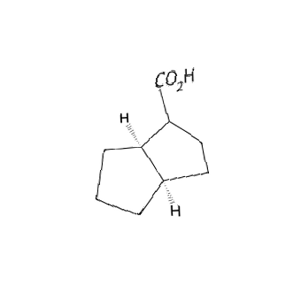 O=C(O)C1CC[C@H]2CCC[C@@H]12